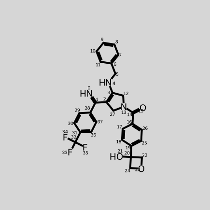 N=C(C1=C(NCc2ccccc2)CN(C(=O)c2ccc(C3(O)COC3)cc2)C1)c1ccc(C(F)(F)F)cc1